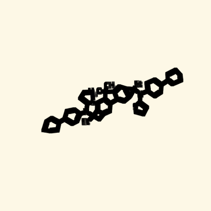 CCC1(N(c2ccc(-c3ccccc3)cc2)c2cccs2)Cc2cc3c(cc21)C(C)(C)c1cc2c(cc1-3)C2(CC)N(c1ccc(-c2ccccc2)cc1)c1cccs1